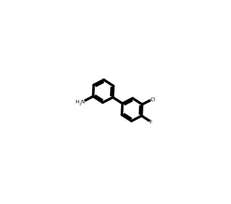 Nc1cccc(-c2ccc(F)c(Cl)c2)c1